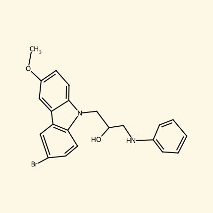 COc1ccc2c(c1)c1cc(Br)ccc1n2CC(O)CNc1ccccc1